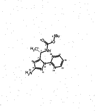 C[C@H](NC(=O)OC(C)(C)C)c1nc(N)nn1-c1ncccn1